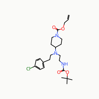 C=CCOC(=O)N1CCC(N(CCNC(=O)OC(C)(C)C)CCc2ccc(Cl)cc2)CC1